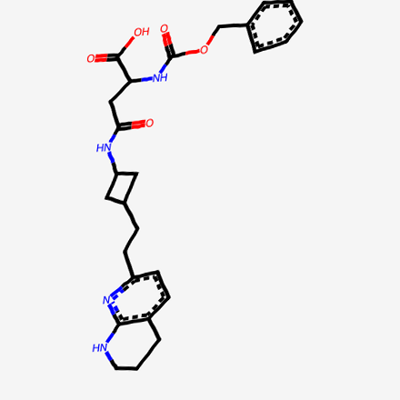 O=C(CC(NC(=O)OCc1ccccc1)C(=O)O)NC1CC(CCc2ccc3c(n2)NCCC3)C1